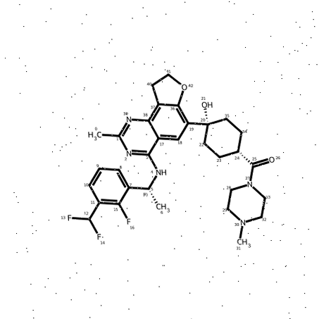 Cc1nc(N[C@H](C)c2cccc(C(F)F)c2F)c2cc([C@]3(O)CC[C@@H](C(=O)N4CCN(C)CC4)CC3)c3c(c2n1)CCO3